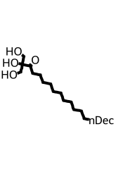 CCCCCCCCCCCCCCCCCCCCCC(=O)C(O)(CO)CO